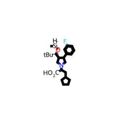 C[SiH](C)O[C@H](C1CN(C(CC2CCCC2)C(=O)O)CC1c1cccc(F)c1)C(C)(C)C